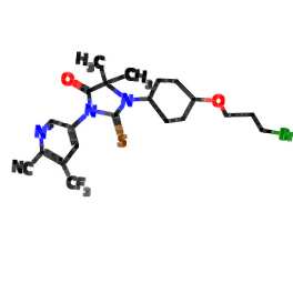 CC1(C)C(=O)N(c2cnc(C#N)c(C(F)(F)F)c2)C(=S)N1C1CCC(OCCCBr)CC1